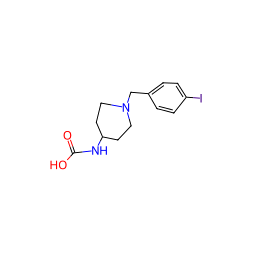 O=C(O)NC1CCN(Cc2ccc(I)cc2)CC1